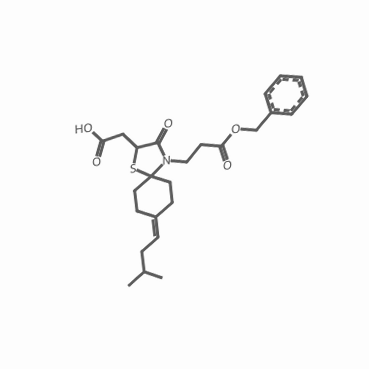 CC(C)CC=C1CCC2(CC1)SC(CC(=O)O)C(=O)N2CCC(=O)OCc1ccccc1